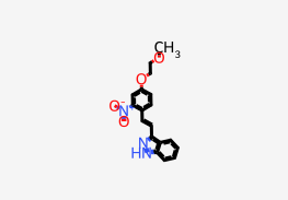 COCCOc1ccc(C=Cc2n[nH]c3ccccc23)c([N+](=O)[O-])c1